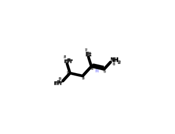 CCCC(CCC)C/C(=C/N)CC